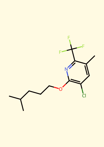 Cc1cc(Cl)c(OCCCC(C)C)nc1C(F)(F)F